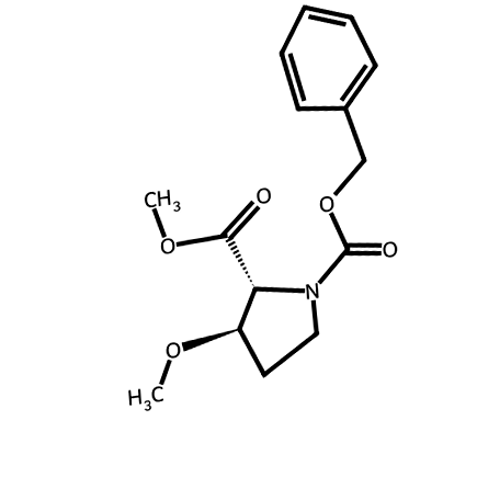 COC(=O)[C@H]1[C@H](OC)CCN1C(=O)OCc1ccccc1